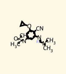 CN(C)/C=N/c1cc(N=S(C)(C)=O)cc(OC2CC2)c1C#N